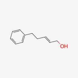 OCC=CCCc1ccccc1